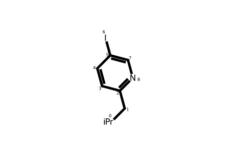 CC(C)Cc1ccc(I)cn1